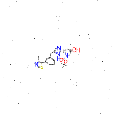 Cc1ncsc1-c1cccc(Cc2cnc([C@@H]3C[C@@H](O)CN3C(=O)OC(C)(C)C)[nH]2)c1